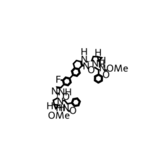 COC(=O)N[C@@H](C(=O)N1[C@@H]2C[C@@H]2C[C@H]1c1ncc(-c2ccc(-c3ccc4c(c3)CCc3[nH]c([C@@H]5C[C@H]6C[C@H]6N5C(=O)[C@H](NC(=O)OC)c5ccccc5)nc3-4)cc2F)[nH]1)c1ccccc1